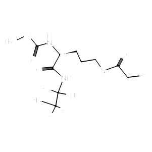 [2H]C([2H])([2H])C([2H])([2H])NC(=O)[C@H](CCCNC(=O)CBr)NC(=O)OC(C)(C)C